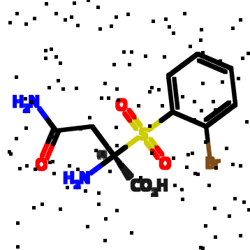 NC(=O)C[C@](N)(C(=O)O)S(=O)(=O)c1ccccc1Br